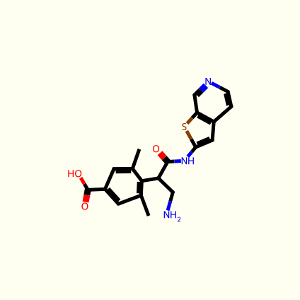 Cc1cc(C(=O)O)cc(C)c1C(CN)C(=O)Nc1cc2ccncc2s1